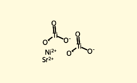 [Ni+2].[O]=[Ti]([O-])[O-].[O]=[Ti]([O-])[O-].[Sr+2]